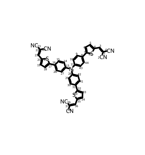 N#CC(C#N)=Cc1ccc(-c2ccc(N(c3ccc(-c4ccc(C=C(C#N)C#N)s4)cc3)c3ccc(-c4ccc(C=C(C#N)C#N)s4)cc3)cc2)s1